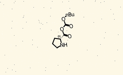 CCCCOC(=O)OC(=O)[C@H]1CCCN1